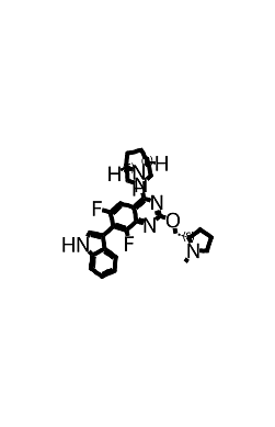 CN1CCC[C@H]1COc1nc(N2C[C@H]3CC[C@@H](C2)N3)c2cc(F)c(-c3c[nH]c4ccccc34)c(F)c2n1